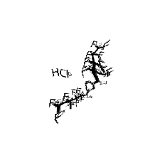 Cl.FC(F)C(F)(F)C(F)(F)C(F)(F)COCC(F)(F)C(F)(F)C(F)(F)C(F)F